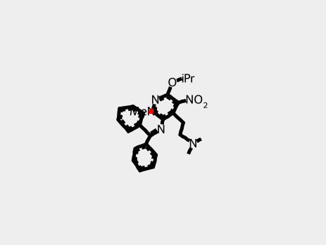 CNc1nc(OC(C)C)c([N+](=O)[O-])c(CCN(C)C)c1N=C(c1ccccc1)c1ccccc1